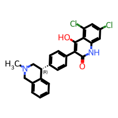 CN1Cc2ccccc2[C@@H](c2ccc(-c3c(O)c4c(Cl)cc(Cl)cc4[nH]c3=O)cc2)C1